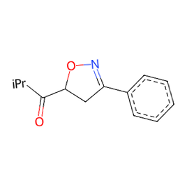 CC(C)C(=O)C1CC(c2ccccc2)=NO1